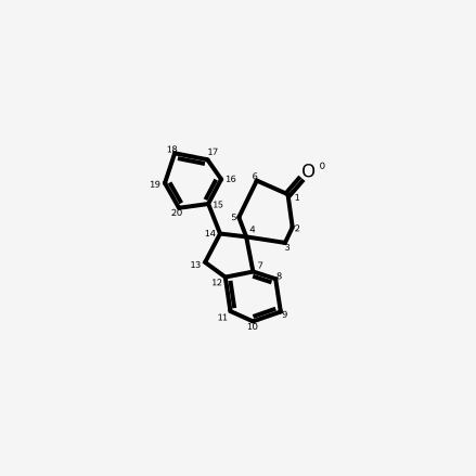 O=C1CCC2(CC1)c1ccccc1CC2c1ccccc1